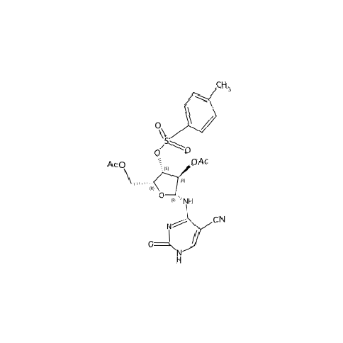 CC(=O)OC[C@H]1O[C@@H](Nc2nc(=O)[nH]cc2C#N)[C@H](OC(C)=O)[C@H]1OS(=O)(=O)c1ccc(C)cc1